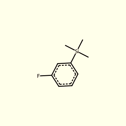 C[Si](C)(C)c1cccc(F)c1